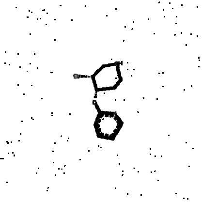 CC[C@@H]1CNCC[C@@H]1Oc1ccccn1